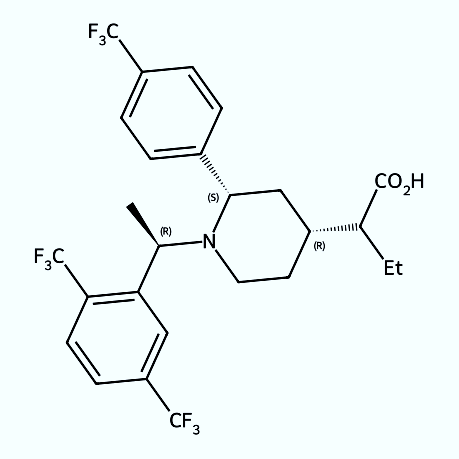 CCC(C(=O)O)[C@@H]1CCN([C@H](C)c2cc(C(F)(F)F)ccc2C(F)(F)F)[C@H](c2ccc(C(F)(F)F)cc2)C1